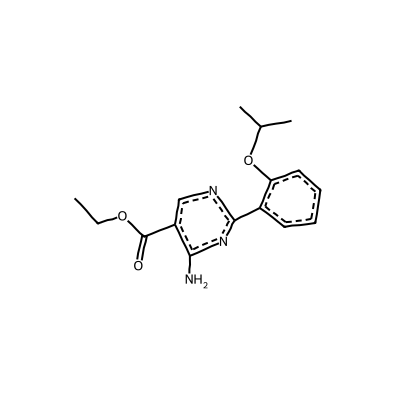 CCOC(=O)c1cnc(-c2ccccc2OC(C)C)nc1N